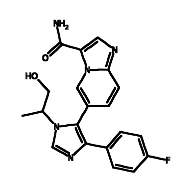 CC(CO)n1cnc(-c2ccc(F)cc2)c1-c1ccc2ncc(C(N)=O)n2c1